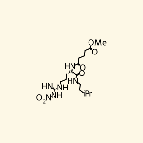 COC(=O)CCCC(=O)N[C@@H](CCCNC(=N)N[N+](=O)[O-])C(=O)NCCC(C)C